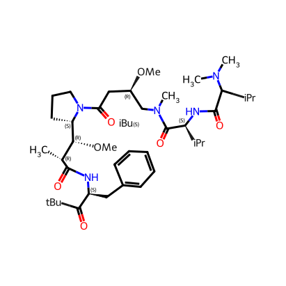 CC[C@H](C)C([C@@H](CC(=O)N1CCC[C@H]1[C@H](OC)[C@@H](C)C(=O)N[C@@H](Cc1ccccc1)C(=O)C(C)(C)C)OC)N(C)C(=O)[C@@H](NC(=O)C(C(C)C)N(C)C)C(C)C